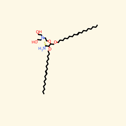 CCCCCCCCC=CCCCCCCCCOCC(OCCN(CCO)CCO)C(OCCCCCCCCC=CCCCCCCCC)C(N)=S